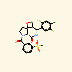 CS(=O)(=O)c1cccc(C(=O)N2CCC[C@@H]2C(=O)N[C@@H](c2cc(F)c(Cl)cc2F)C2COC2)c1